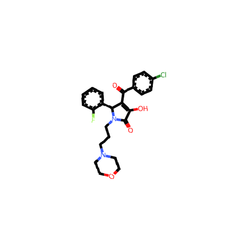 O=C(C1=C(O)C(=O)N(CCCN2CCOCC2)C1c1ccccc1F)c1ccc(Cl)cc1